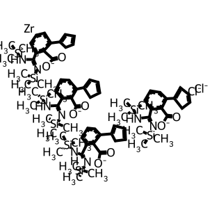 C[Si](C)(C)N=C(N[Si](C)(C)C)c1cccc(C2=CC=CC2)c1C(=O)[O-].C[Si](C)(C)N=C(N[Si](C)(C)C)c1cccc(C2=CC=CC2)c1C(=O)[O-].C[Si](C)(C)N=C(N[Si](C)(C)C)c1cccc(C2=CC=CC2)c1C(=O)[O-].C[Si](C)(C)N=C(N[Si](C)(C)C)c1cccc(C2=CC=CC2)c1C(=O)[O-].[Cl-].[Cl-].[Zr]